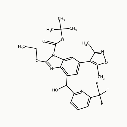 CCOc1nc2c(C(O)c3cccc(C(F)(F)F)n3)cc(-c3c(C)noc3C)cc2n1C(=O)OC(C)(C)C